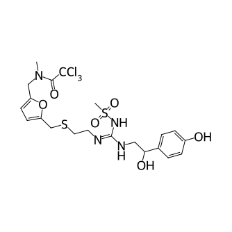 CN(Cc1ccc(CSCCN=C(NCC(O)c2ccc(O)cc2)NS(C)(=O)=O)o1)C(=O)C(Cl)(Cl)Cl